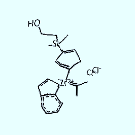 C[C](C)=[Zr+2]([C]1=CC([Si](C)(C)CCO)=CC1)[CH]1C=Cc2ccccc21.[Cl-].[Cl-]